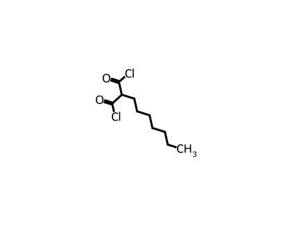 CCCCCCCC(C(=O)Cl)C(=O)Cl